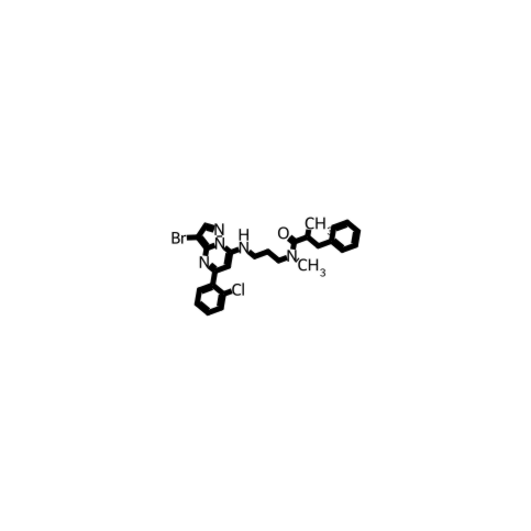 CC(Cc1ccccc1)C(=O)N(C)CCCNc1cc(-c2ccccc2Cl)nc2c(Br)cnn12